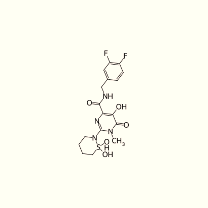 Cn1c(N2CCCCS2(O)O)nc(C(=O)NCc2ccc(F)c(F)c2)c(O)c1=O